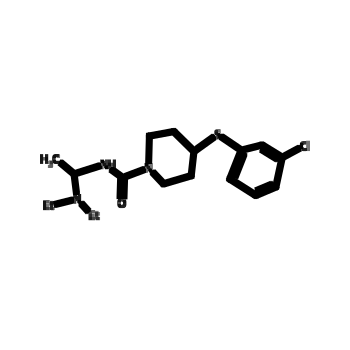 CCN(CC)C(C)NC(=O)N1CCC(Sc2cccc(Cl)c2)CC1